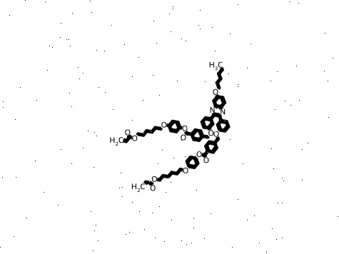 C=CC(=O)OCCCCCCOc1ccc(OC(=O)c2ccc(COc3cccc(-c4nc5ccc(OCCCCCC)cc5nc4-c4cccc(OCc5ccc(C(=O)Oc6ccc(OCCCCCCOC(=O)C=C)cc6)cc5)c4)c3)cc2)cc1